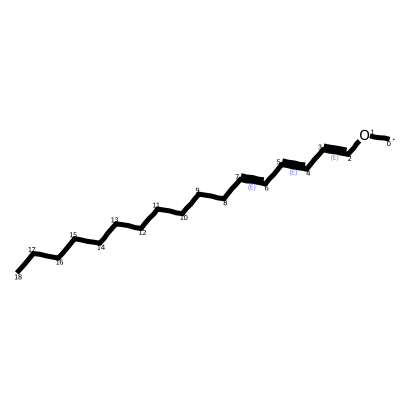 [CH2]O/C=C/C=C/C=C/CCCCCCCCCCC